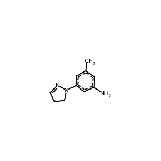 Cc1cc(N)cc(N2CCC=N2)c1